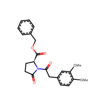 COc1ccc(CC(=O)N2C(=O)CC[C@H]2C(=O)OCc2ccccc2)cc1OC